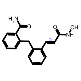 NC(=O)c1ccccc1Cc1ccccc1/C=C/C(=O)NO